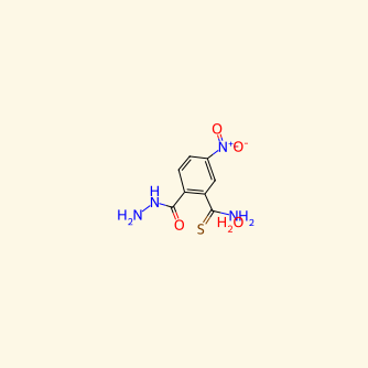 NNC(=O)c1ccc([N+](=O)[O-])cc1C(N)=S.O